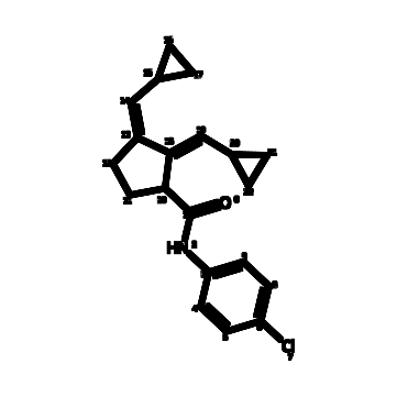 O=C(Nc1ccc(Cl)cc1)C1CCC(=CC2CC2)C1=CC1CC1